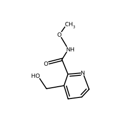 CONC(=O)c1ncccc1CO